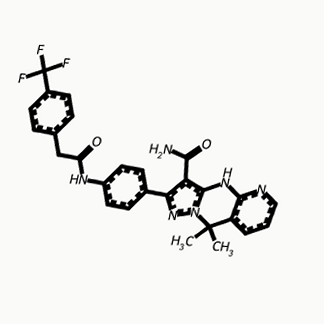 CC1(C)c2cccnc2Nc2c(C(N)=O)c(-c3ccc(NC(=O)Cc4ccc(C(F)(F)F)cc4)cc3)nn21